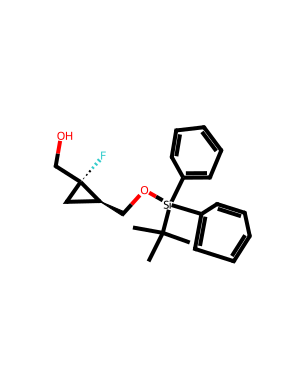 CC(C)(C)[Si](OC[C@H]1C[C@@]1(F)CO)(c1ccccc1)c1ccccc1